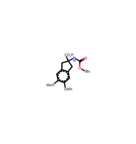 COc1cc2c(cc1OC)CC(NC(=O)OC(C)(C)C)(C(=O)O)C2